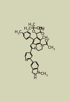 CC(=O)N1CCn2c(-c3ccnc(-c4ccc5c(c4)CNN5C)c3)cc3c(-c4ccc(C)cc4)c(C(OC(C)(C)C)C(=O)O)c(C)c1c32